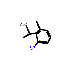 CC(=O)OC(C)c1c(C)cccc1N